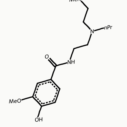 CCCN(CCNC)CCNC(=O)c1ccc(O)c(OC)c1